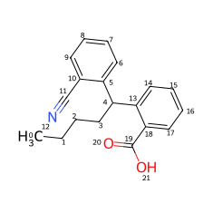 CCCCC(c1ccccc1C#N)c1ccccc1C(=O)O